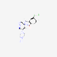 Cc1c(N2CCNCC2)cncc1N1C(=O)c2ccc(Cl)cc2C1C